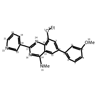 CCOc1cc(-c2cccc(OC)c2)cc2c(NC)nc(-c3cccnc3)nc12